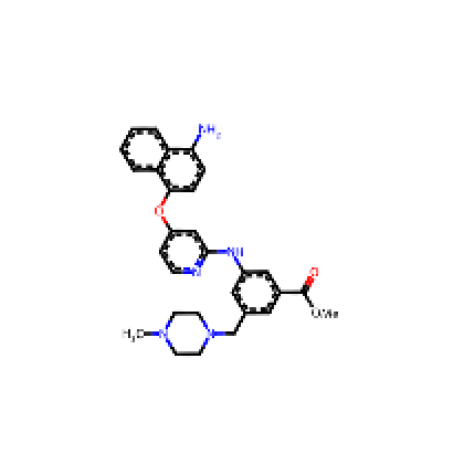 COC(=O)c1cc(CN2CCN(C)CC2)cc(Nc2cc(Oc3ccc(N)c4ccccc34)ccn2)c1